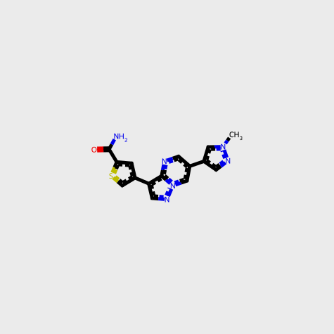 Cn1cc(-c2cnc3c(-c4csc(C(N)=O)c4)cnn3c2)cn1